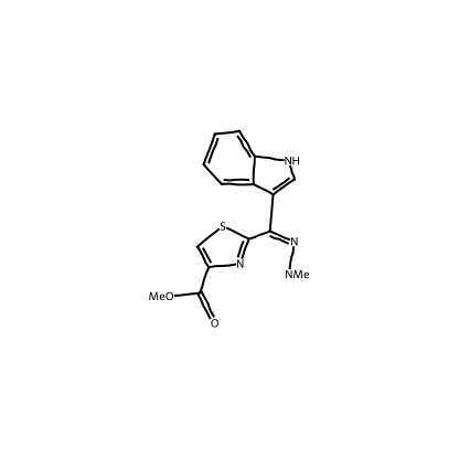 CN/N=C(\c1nc(C(=O)OC)cs1)c1c[nH]c2ccccc12